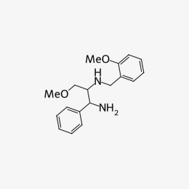 COCC(NCc1ccccc1OC)C(N)c1ccccc1